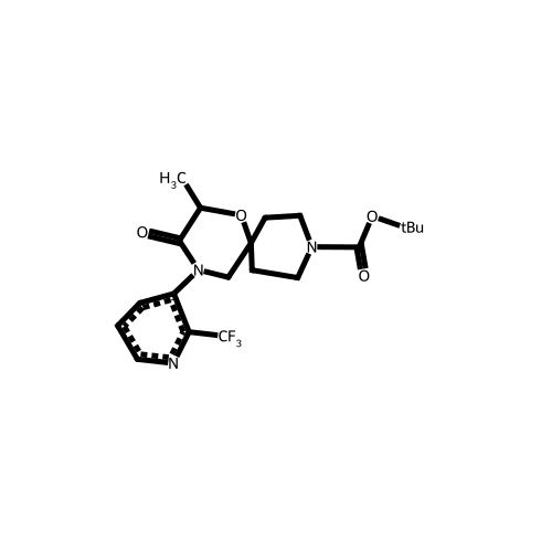 CC1OC2(CCN(C(=O)OC(C)(C)C)CC2)CN(c2cccnc2C(F)(F)F)C1=O